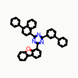 c1ccc(-c2cccc(-c3nc(-c4ccc(-c5ccccc5)c5ccccc45)nc(-c4cccc5c4oc4ccccc45)n3)c2)cc1